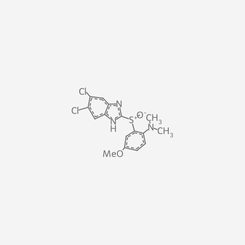 COc1ccc(N(C)C)c([S+]([O-])c2nc3cc(Cl)c(Cl)cc3[nH]2)c1